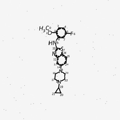 COc1ccc(F)cc1Nc1nc2cc(N3CCN(C4CC4)CC3)ccc2s1